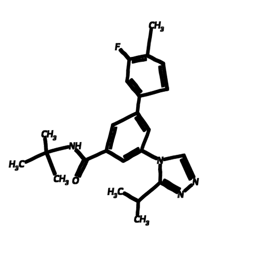 Cc1ccc(-c2cc(C(=O)NC(C)(C)C)cc(-n3cnnc3C(C)C)c2)cc1F